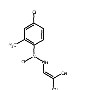 Cc1cc(Cl)ccc1N(Cl)NC=C(C#N)C#N